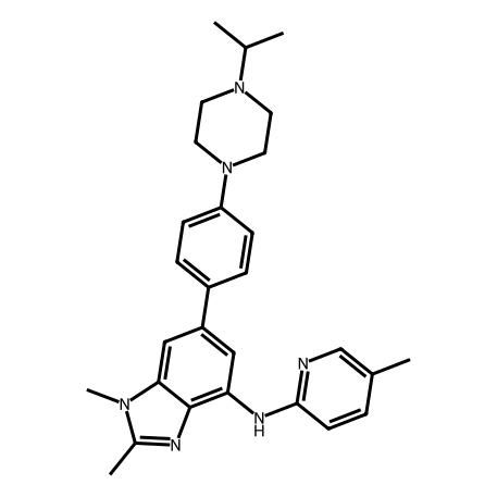 Cc1ccc(Nc2cc(-c3ccc(N4CCN(C(C)C)CC4)cc3)cc3c2nc(C)n3C)nc1